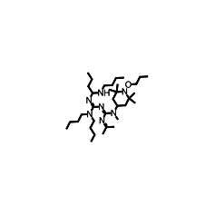 CCCCNC(CCC)/N=C(\N=C(/N=C(C)C)N(C)C1CC(C)(C)N(OCCC)C(C)(C)C1)N(CCCC)CCCC